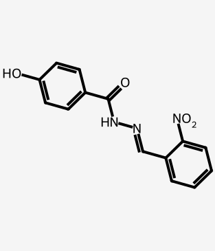 O=C(NN=Cc1ccccc1[N+](=O)[O-])c1ccc(O)cc1